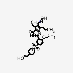 CCCc1c(/C=N/O)c(CC)c2c(=O)[nH]c(-c3cc(S(=O)(=O)N4CCC(CCO)CC4)ccc3OCC)nn12